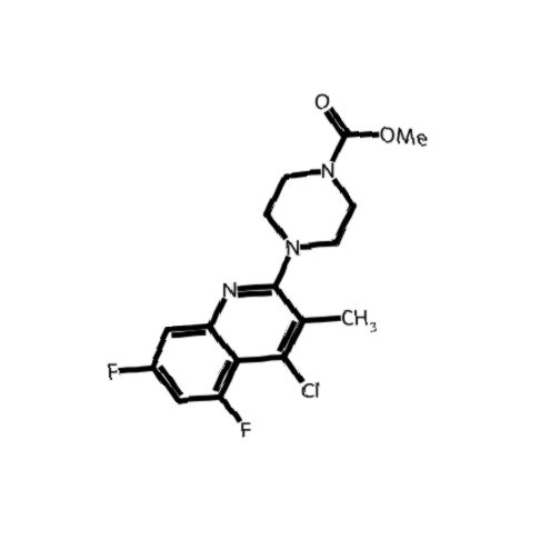 COC(=O)N1CCN(c2nc3cc(F)cc(F)c3c(Cl)c2C)CC1